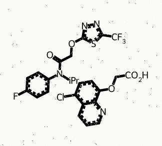 CC(C)N(C(=O)COc1nnc(C(F)(F)F)s1)c1ccc(F)cc1.O=C(O)COc1ccc(Cl)c2cccnc12